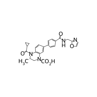 C[C@H]1CN(C(=O)O)c2cc(-c3ccc(C(=O)NCc4ncco4)cc3)ccc2N1C(=O)C1CC1